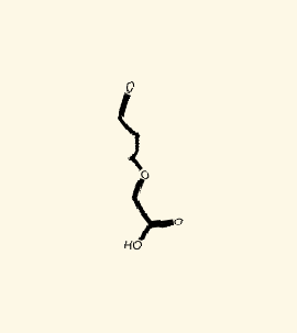 O=CCCOCC(=O)O